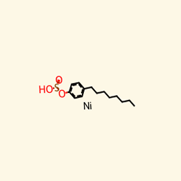 CCCCCCCCc1ccc(OS(=O)O)cc1.[Ni]